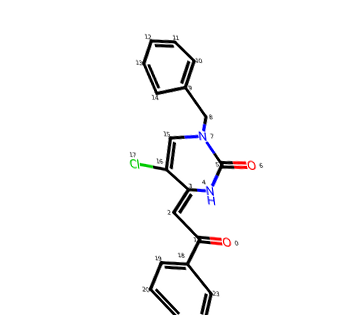 O=C(/C=C1\NC(=O)N(Cc2ccccc2)C=C1Cl)c1ccccc1